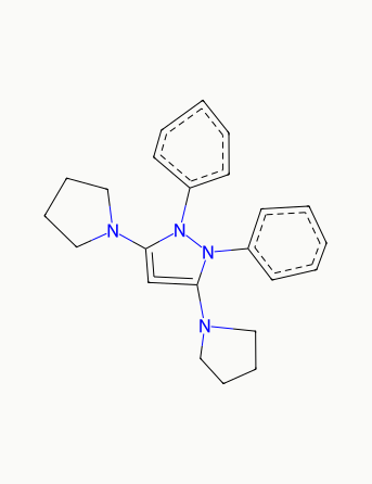 C1=C(N2CCCC2)N(c2ccccc2)N(c2ccccc2)C=1N1CCCC1